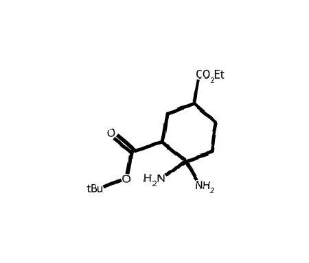 CCOC(=O)C1CCC(N)(N)C(C(=O)OC(C)(C)C)C1